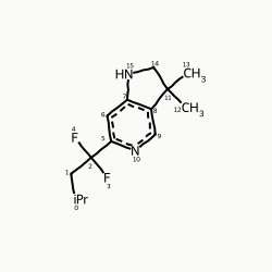 CC(C)CC(F)(F)c1cc2c(cn1)C(C)(C)CN2